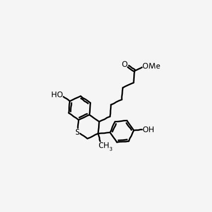 COC(=O)CCCCCC1c2ccc(O)cc2SCC1(C)c1ccc(O)cc1